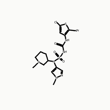 CC(C)c1sc(Cl)cc1NC(=O)NS(=O)(=O)N(c1cnn(C)c1)C1CCCN(C)C1